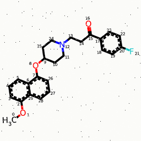 COc1cccc2c(OC3CCN(CCC(=O)c4ccc(F)cc4)CC3)cccc12